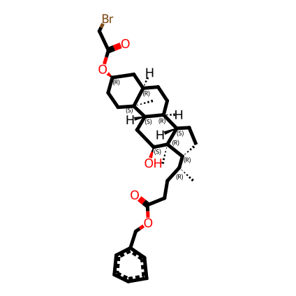 C[C@H](CCC(=O)OCc1ccccc1)[C@H]1CC[C@H]2[C@@H]3CC[C@@H]4C[C@H](OC(=O)CBr)CC[C@]4(C)[C@H]3C[C@H](O)[C@]12C